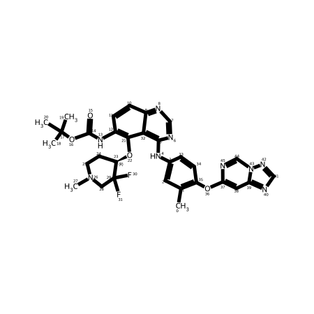 Cc1cc(Nc2ncnc3ccc(NC(=O)OC(C)(C)C)c(O[C@@H]4CCN(C)CC4(F)F)c23)ccc1Oc1cc2ncnn2cn1